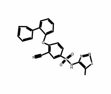 Cc1snnc1NS(=O)(=O)c1ccc(Oc2ccccc2-c2ccccc2)c(C#N)c1